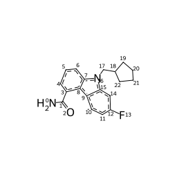 NC(=O)c1cccc2c1c1[c]cc(F)cc1n2CC1CCCC1